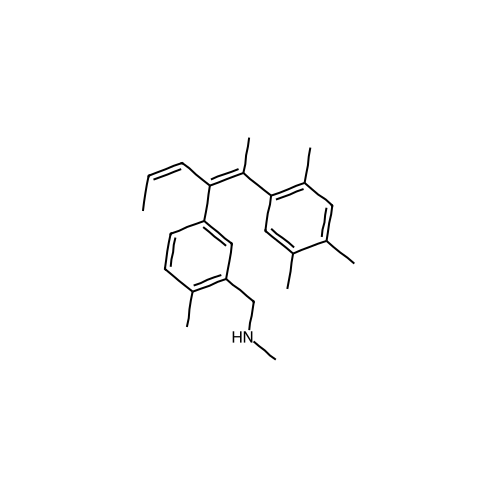 C/C=C\C(=C(/C)c1cc(C)c(C)cc1C)c1ccc(C)c(CNC)c1